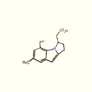 COc1cc(C(C)C)c2c(c1)cc1n2C(CC(=O)O)CC1